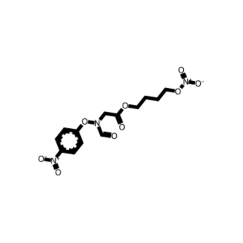 O=CN(CC(=O)OCCCCO[N+](=O)[O-])Oc1ccc([N+](=O)[O-])cc1